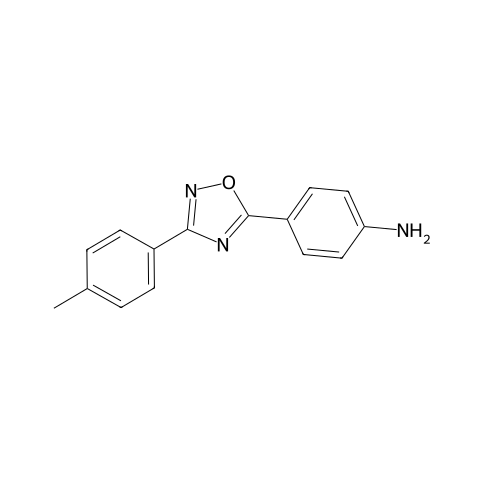 Cc1ccc(-c2noc(-c3ccc(N)cc3)n2)cc1